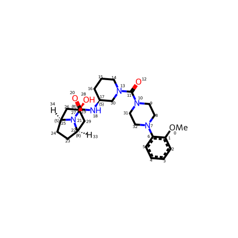 COc1ccccc1N1CCN(C(=O)N2CCC[C@H](NC(=O)N3[C@@H]4CC[C@H]3C[C@@H](O)C4)C2)CC1